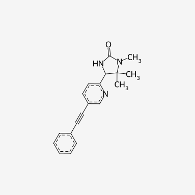 CN1C(=O)NC(c2ccc(C#Cc3ccccc3)cn2)C1(C)C